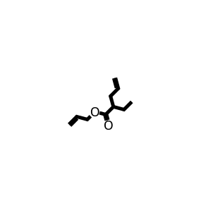 C=CCOC(=O)C(CC)CC=C